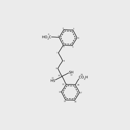 O=C(O)c1ccccc1CCCC(S)(S)c1ccccc1C(=O)O